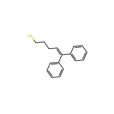 SCCCC=C(c1ccccc1)c1ccccc1